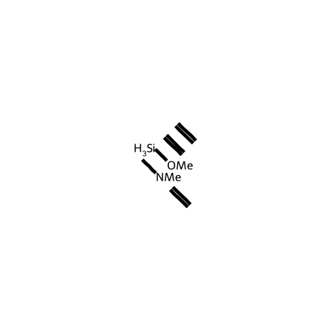 C=C.C=C.C=C.CNC.CO[SiH3]